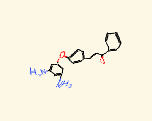 Nc1cc(N)cc(Oc2ccc(/C=C/C(=O)c3ccccc3)cc2)c1